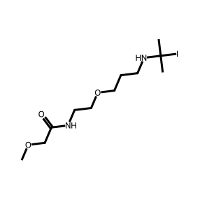 COCC(=O)NCCOCCCNC(C)(C)I